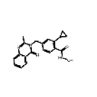 Cc1nc2ccccc2c(=O)n1Cc1ccc(C(=O)NO)c(C2CC2)c1